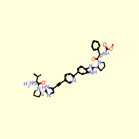 COC(=O)N[C@@H](C(=O)N1CCC[C@H]1c1nc2ccc(-c3ccc(C#Cc4cnc([C@@H]5CCCN5C(=O)[C@@H](N)C(C)C)[nH]4)cn3)cc2[nH]1)c1ccccc1